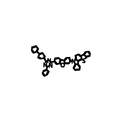 c1ccc(-c2ccc(-c3nc(-c4ccccc4)nc(-c4ccc5c(c4)oc4cc(-n6c7ccccc7c7c8sc9ccccc9c8ccc76)ccc45)n3)cc2)cc1